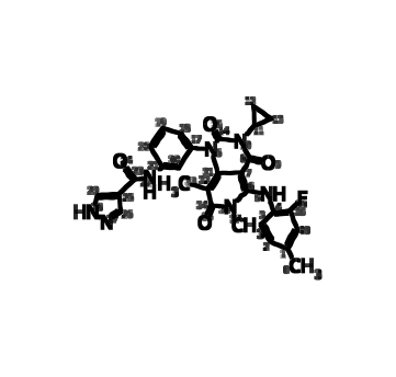 Cc1ccc(Nc2c3c(=O)n(C4CC4)c(=O)n(-c4cccc(NC(=O)c5cn[nH]c5)c4)c3c(C)c(=O)n2C)c(F)c1